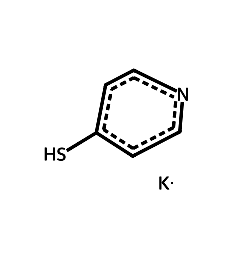 Sc1ccncc1.[K]